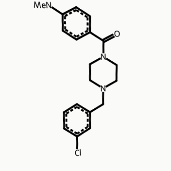 CNc1ccc(C(=O)N2CCN(Cc3cccc(Cl)c3)CC2)cc1